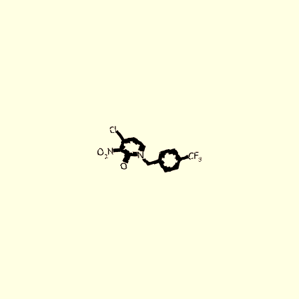 O=c1c([N+](=O)[O-])c(Cl)ccn1Cc1ccc(C(F)(F)F)cc1